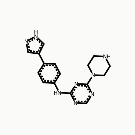 c1nc(Nc2ccc(-c3cn[nH]c3)cc2)nc(N2CCNCC2)n1